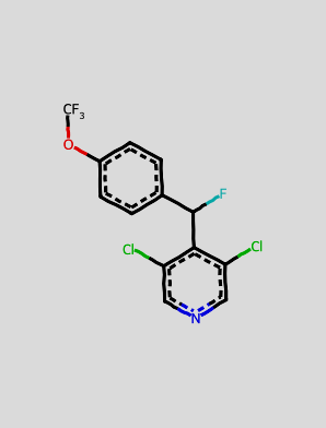 FC(c1ccc(OC(F)(F)F)cc1)c1c(Cl)cncc1Cl